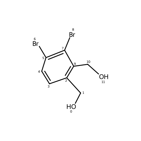 OCc1ccc(Br)c(Br)c1CO